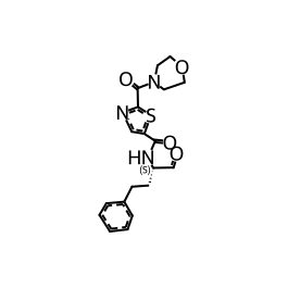 O=C[C@H](CCc1ccccc1)NC(=O)c1cnc(C(=O)N2CCOCC2)s1